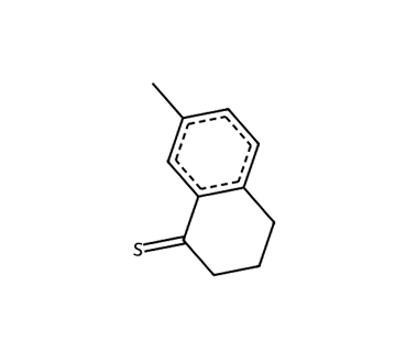 Cc1ccc2c(c1)C(=S)CCC2